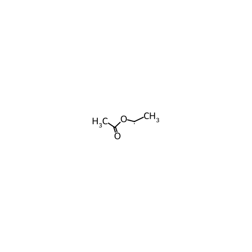 C[CH]OC(C)=O